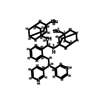 CC(C)(C)C12CC3CC(CC(PC(PC45CC6CC(C4)CC(C(C)(C)C)(C6)C5)c4ccccc4CP(c4cccnc4)c4cccnc4)(C3)C1)C2